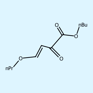 CCCCOC(=O)C(=O)C=COCCC